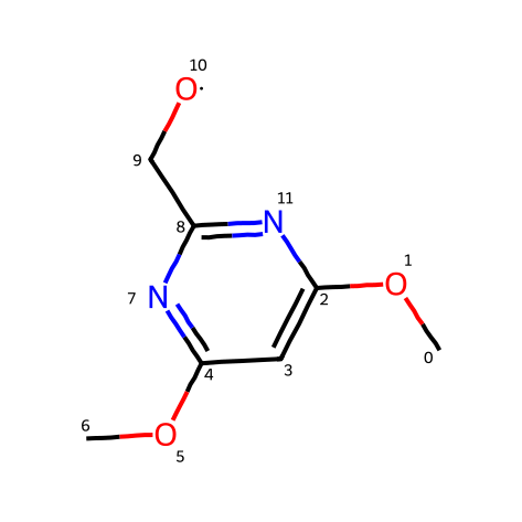 COc1cc(OC)nc(C[O])n1